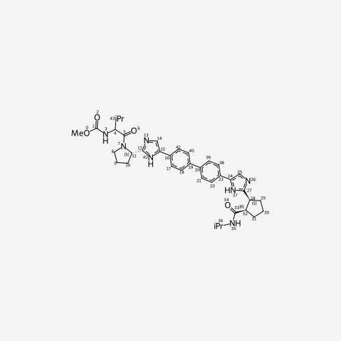 COC(=O)NC(C(=O)N1CCC[C@H]1c1ncc(-c2ccc(-c3ccc(-c4cnc([C@H]5CCC[C@H]5C(=O)NC(C)C)[nH]4)cc3)cc2)[nH]1)C(C)C